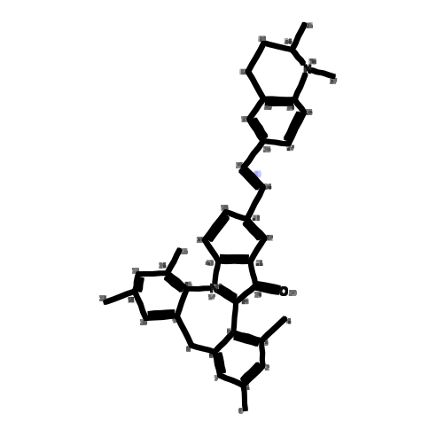 Cc1cc(C)c2c(c1)Cc1cc(C)cc(C)c1[N+]1=C2C(=O)c2cc(/C=C/c3ccc4c(c3)CCC(C)N4C)ccc21